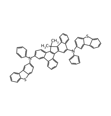 CC1(C)c2c(cc(N(c3ccccc3)c3ccc4sc5ccccc5c4c3)c3ccccc23)-c2c1c1ccc(N(c3ccccc3)c3ccc4sc5ccccc5c4c3)cc1c1ccccc21